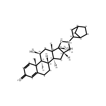 C[C@]12C=CC(=O)C=C1CC[C@H]1[C@@H]3C[C@H]4CN(C5CC6CCC5C6)O[C@@]4(C(=O)O)[C@@]3(C)C[C@H](O)[C@@]12F